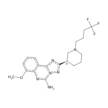 COc1cccc2c1nc(N)n1nc([C@@H]3CCCN(CCCC(F)(F)F)C3)nc21